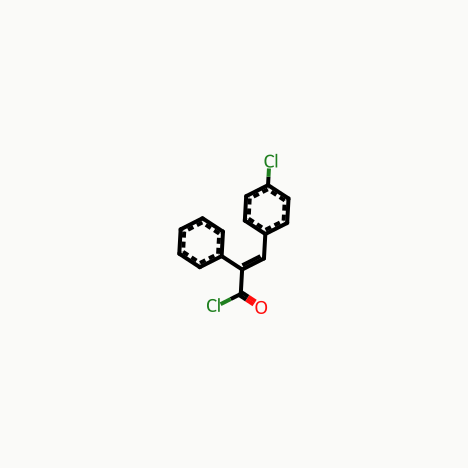 O=C(Cl)/C(=C/c1ccc(Cl)cc1)c1ccccc1